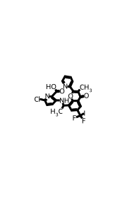 Cc1c(-c2ccccn2)oc2c(C(C)Nc3ccc(Cl)nc3C(=O)O)cc(C(F)(F)I)cc2c1=O